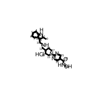 Cc1[nH]c2ccccc2c1CNCC1CCN(c2ncc(C(=O)NO)cn2)CC1.Cl